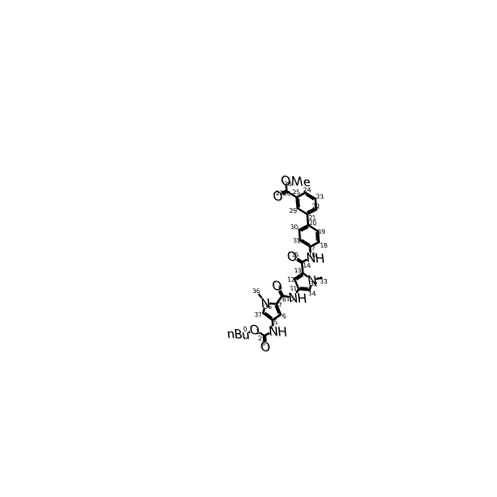 CCCCOC(=O)Nc1cc(C(=O)Nc2cc(C(=O)Nc3ccc(-c4cccc(C(=O)OC)c4)cc3)n(C)c2)n(C)c1